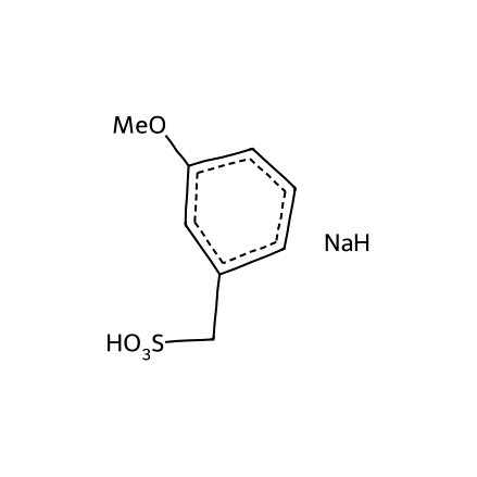 COc1cccc(CS(=O)(=O)O)c1.[NaH]